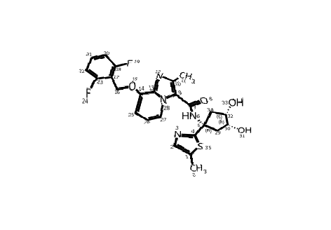 Cc1cnc([C@]2(NC(=O)c3c(C)nc4c(OCc5c(F)cccc5F)cccn34)C[C@@H](O)[C@@H](O)C2)s1